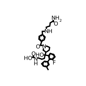 Cc1cccc(-c2c(F)cccc2C(O)(CCCNC(=O)O)C2CCCN(C(=O)c3ccc(CNCCCC(N)=O)cc3)C2)c1